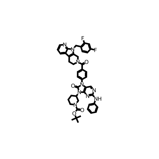 CC(C)(C)OC(=O)N1CCCC(n2c(=O)n(-c3ccc(C(=O)N4CCc5c(n(Cc6ccc(F)cc6F)c6ncccc56)C4)cc3)c3cnc(Nc4ccccc4)nc32)C1